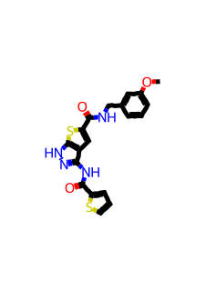 COc1cccc(CNC(=O)c2cc3c(NC(=O)c4cccs4)n[nH]c3s2)c1